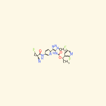 C[C@@H](OC(=O)Nc1c(-c2ccc(NC(=O)[C@]3(C#N)C[C@H]3F)cn2)nnn1C)c1cc(F)cnc1F